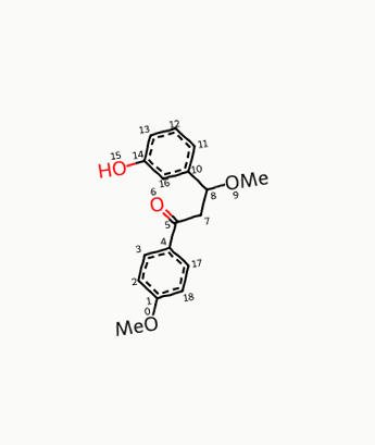 COc1ccc(C(=O)CC(OC)c2cccc(O)c2)cc1